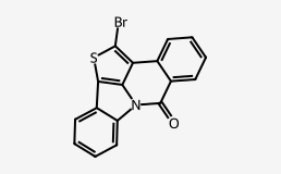 O=c1c2ccccc2c2c(Br)sc3c4ccccc4n1c32